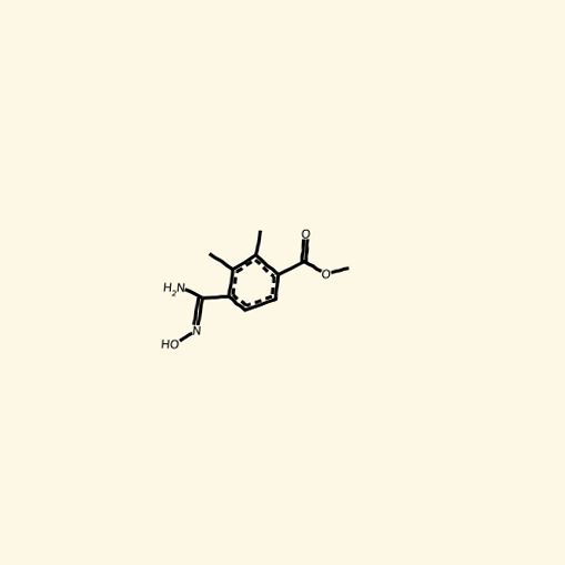 COC(=O)c1ccc(/C(N)=N/O)c(C)c1C